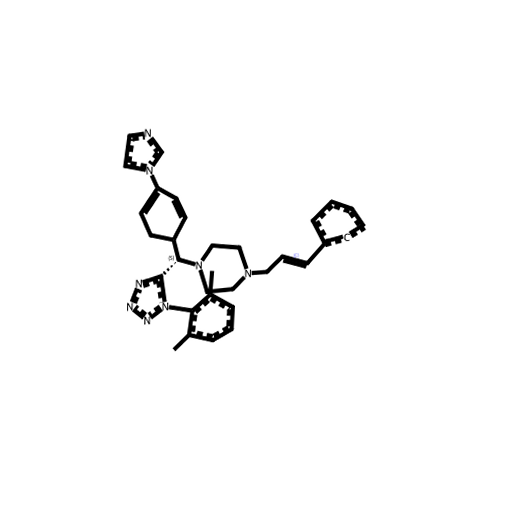 Cc1cccc(C)c1-n1nnnc1[C@H](C1C=CC(n2ccnc2)=CC1)N1CCN(C/C=C/c2ccccc2)CC1